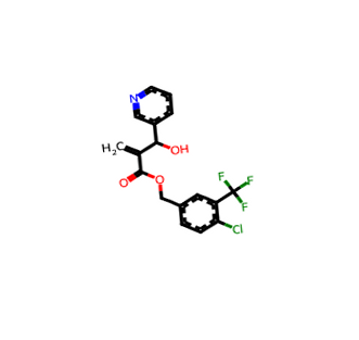 C=C(C(=O)OCc1ccc(Cl)c(C(F)(F)F)c1)C(O)c1cccnc1